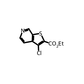 CCOC(=O)c1sc2cnccc2c1Cl